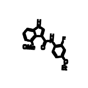 CCOc1ccc(NC(=O)c2c[nH]c3cccc(OC)c23)c(F)c1